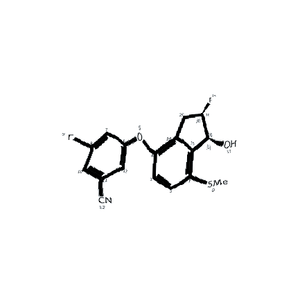 CSc1ccc(Oc2cc(F)cc(C#N)c2)c2c1[C@H](O)[C@H](F)C2